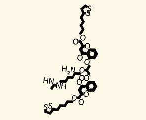 CC(=N)NCCCC[C@H](N)C(=O)OC(COc1cccc2oc(C(=O)OCCCCCC3CCSS3)cc(=O)c12)COc1cccc2oc(C(=O)OCCCCCC3CCSS3)cc(=O)c12